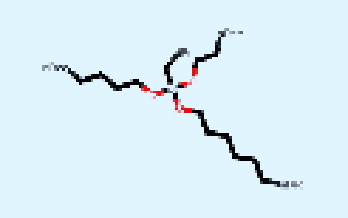 CCCCCCCCCCCCCCCCO[Si](CC(C)C)(OCCCCCCCCCCCC)OCCCCCCCCCCCCCC